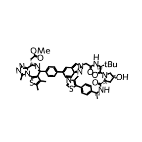 COC(=O)C[C@@H]1N=C(c2ccc(-c3ccc4nn(CC(=O)N[C@H](C(=O)N5C[C@H](O)C[C@H]5C(=O)N[C@@H](C)c5ccc(-c6scnc6C)cc5)C(C)(C)C)cc4c3)cc2)c2c(sc(C)c2C)-n2c(C)nnc21